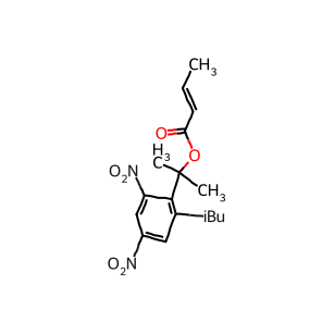 CC=CC(=O)OC(C)(C)c1c(C(C)CC)cc([N+](=O)[O-])cc1[N+](=O)[O-]